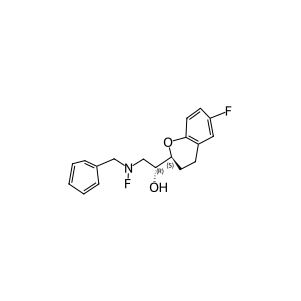 O[C@H](CN(F)Cc1ccccc1)[C@@H]1CCc2cc(F)ccc2O1